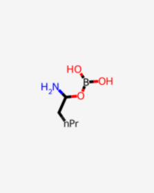 CCCCC(N)OB(O)O